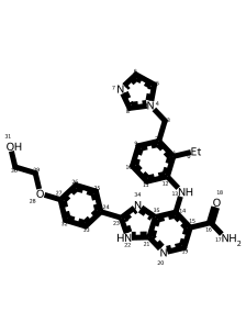 CCc1c(Cn2ccnc2)cccc1Nc1c(C(N)=O)cnc2[nH]c(-c3ccc(OCCO)cc3)nc12